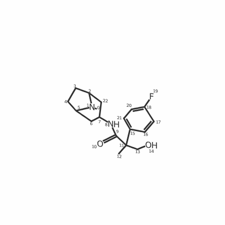 CN1C2CCC1CC(NC(=O)C(C)(CO)c1ccc(F)cc1)C2